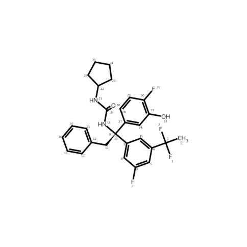 CC(F)(F)c1cc(F)cc([C@](Cc2ccccc2)(NC(=O)NC2CCCC2)c2ccc(F)c(O)c2)c1